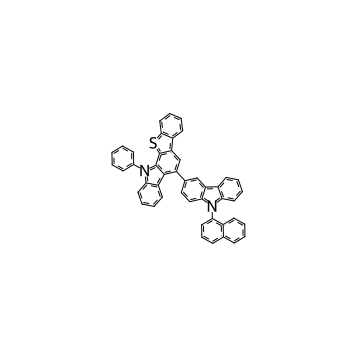 c1ccc(-n2c3ccccc3c3c(-c4ccc5c(c4)c4ccccc4n5-c4cccc5ccccc45)cc4c5ccccc5sc4c32)cc1